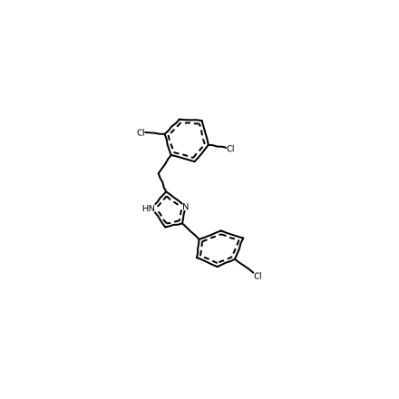 Clc1ccc(-c2c[nH]c(Cc3cc(Cl)ccc3Cl)n2)cc1